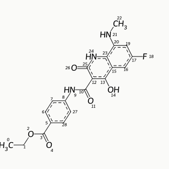 CCOC(=O)c1ccc(NC(=O)c2c(O)c3cc(F)cc(NC)c3[nH]c2=O)cc1